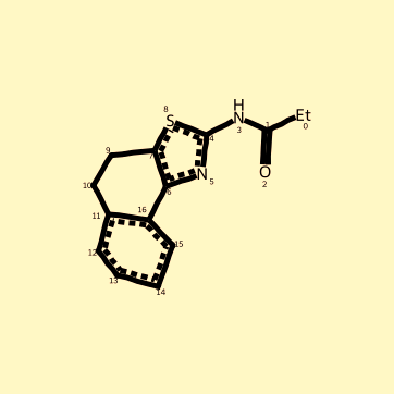 CCC(=O)Nc1nc2c(s1)CCc1ccccc1-2